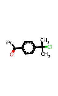 CC(C)C(=O)c1ccc(C(C)(C)Cl)cc1